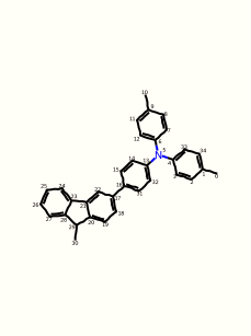 Cc1ccc(N(c2ccc(C)cc2)c2ccc(-c3ccc4c(c3)-c3ccccc3C4C)cc2)cc1